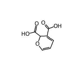 O=C(O)C1=CC=COC1C(=O)O